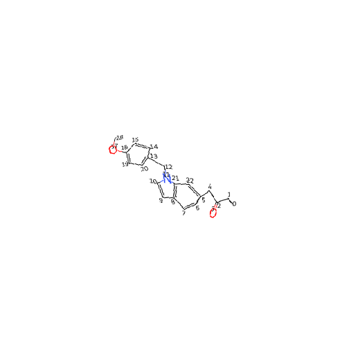 CCC(=O)Cc1ccc2ccn(Cc3ccc(OC)cc3)c2c1